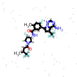 Cc1cc(F)c(-c2cc(C(F)(F)F)c3c(N)ncnn23)cc1C(=O)N[C@@H]1CN(C(=O)CC(C)C(F)(F)F)C[C@@H]1F